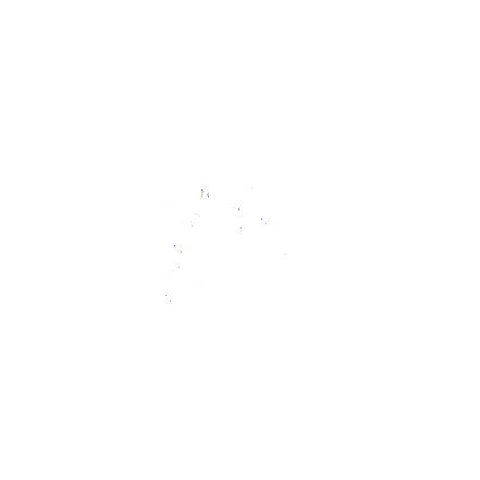 C[C@H]1CN(C(=O)CC#N)C[C@H]1N(C)c1ccn(S(=O)(=O)c2ccccc2)c1